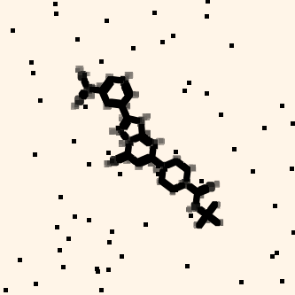 CC(C)(C)OC(=O)N1CCN(c2cc(=O)n3nc(-c4cncc([N+](=O)[O-])c4)sc3n2)CC1